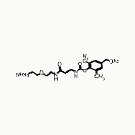 CNCCOCCNC(=O)CCNC(=O)Oc1c(C)cc(COC(C)=O)cc1C